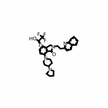 O=C(O)C(F)(F)F.O=C1c2c(cccc2N2CCC(N3CCCC3)CC2)CN1CCc1ccc2ccccc2n1